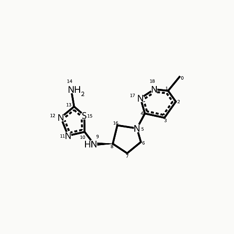 Cc1ccc(N2CC[C@@H](Nc3nnc(N)s3)C2)nn1